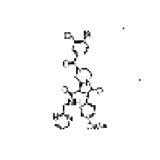 COc1ccc(-n2c(C(=O)NCc3ncccn3)c3n(c2=O)CCN(C(=O)c2ccc(Br)c(Cl)c2)C3)cc1